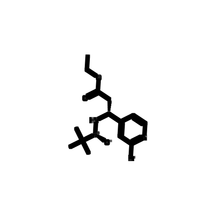 CCOC(=O)C[C@@H](N[S@@+]([O-])C(C)(C)C)c1ccnc(Br)c1